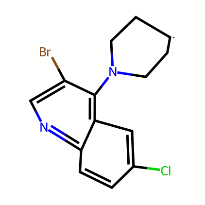 Clc1ccc2ncc(Br)c(N3CC[CH]CC3)c2c1